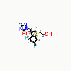 C[C@H](SCCO)[C@](O)(Cn1cncn1)c1ccc(F)cc1F